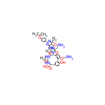 Cc1nc(-c2ccc(OC(C)C)cc2)nc(C)c1C(=O)N[C@@H](CCN)C(=O)N(C)[C@@H]1C(=O)N[C@@H](C)C(=O)N[C@H](C(=O)O)Cc2ccc(O)c(c2)-c2cc1ccc2OCCN